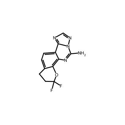 Nc1nc2c3c(ccc2c2ncnn12)CCC(F)(F)O3